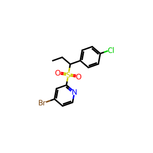 CCC(c1ccc(Cl)cc1)S(=O)(=O)c1cc(Br)ccn1